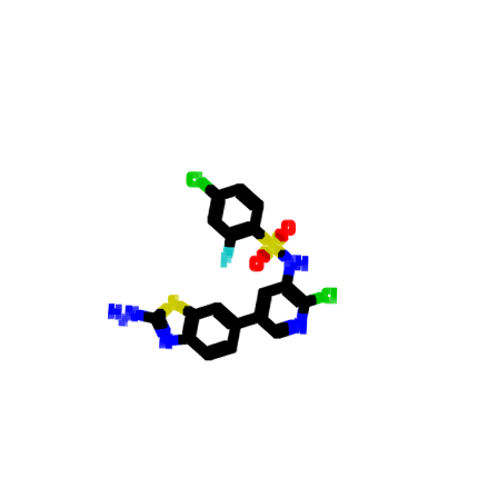 Nc1nc2ccc(-c3cnc(Cl)c(NS(=O)(=O)c4ccc(Cl)cc4F)c3)cc2s1